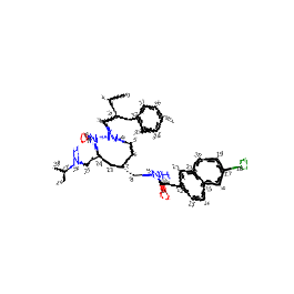 CC[C@H](CN1CC[C@H](CNC(=O)c2ccc3cc(Cl)ccc3c2)C[C@@H](CNC(C)C)[N+]1=O)c1ccccc1